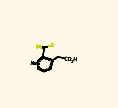 O=C(O)Cc1ccccc1C(=S)[S-].[Na+]